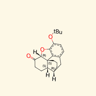 CC(C)(C)Oc1ccc2c3c1O[C@H]1C(=O)CC[C@H]4[C@H](CCC[C@]314)C2